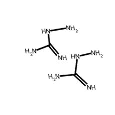 N=C(N)NN.N=C(N)NN